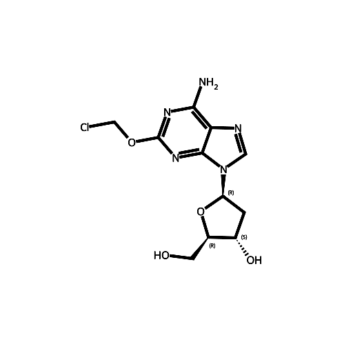 Nc1nc(OCCl)nc2c1ncn2[C@H]1C[C@H](O)[C@@H](CO)O1